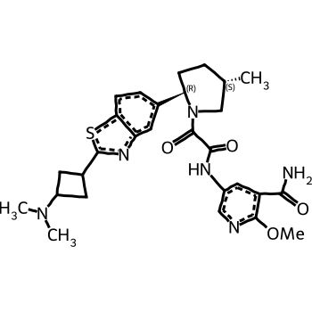 COc1ncc(NC(=O)C(=O)N2C[C@@H](C)CC[C@@H]2c2ccc3sc(C4CC(N(C)C)C4)nc3c2)cc1C(N)=O